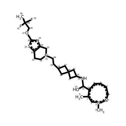 Cc1cn(C)nccccc1C(O)NC1CC2(CC(CCN3CCc4sc(OCC(C)(F)F)nc4C3)C2)C1